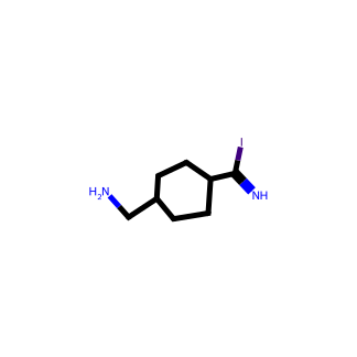 N=C(I)C1CCC(CN)CC1